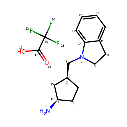 N[C@@H]1CC[C@H](CN2CCc3ccccc32)C1.O=C(O)C(F)(F)F